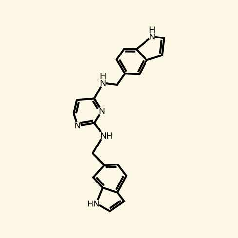 c1cc(NCc2ccc3[nH]ccc3c2)nc(NCc2ccc3cc[nH]c3c2)n1